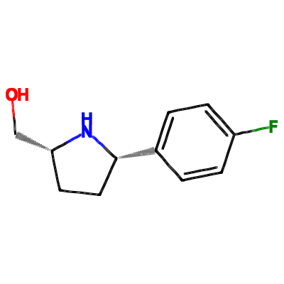 OC[C@H]1CC[C@@H](c2ccc(F)cc2)N1